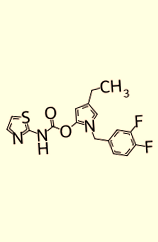 CCc1cc(OC(=O)Nc2nccs2)n(Cc2ccc(F)c(F)c2)c1